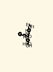 CCN(CC)Cc1ccc(CC(NC(=O)/C=C/c2ccccc2)C(=O)Nc2ccc(C(=O)NO)cc2)cc1